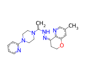 C=C(N/N=C1/CCOc2cc(C)cnc21)N1CCN(c2ccccn2)CC1